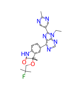 CCn1c(-c2cnc(C)nc2)nc2c(-c3ccc4c(c3)[C@](C)(OCC(C)(C)F)C(=O)N4)ncnc21